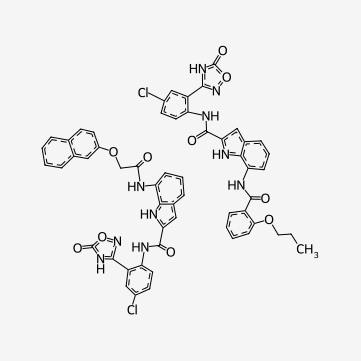 CCCOc1ccccc1C(=O)Nc1cccc2cc(C(=O)Nc3ccc(Cl)cc3-c3noc(=O)[nH]3)[nH]c12.O=C(COc1ccc2ccccc2c1)Nc1cccc2cc(C(=O)Nc3ccc(Cl)cc3-c3noc(=O)[nH]3)[nH]c12